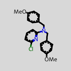 COc1ccc(CN(Cc2ccc(OC)cc2)c2cccc(Cl)n2)cc1